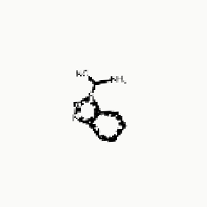 N#CC(N)n1nnc2ccccc21